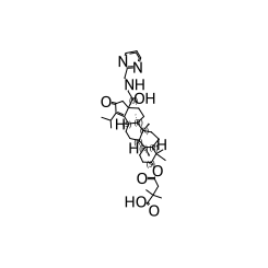 CC(C)C1=C2[C@H]3CC[C@@H]4[C@@]5(C)CC[C@H](OC(=O)CC(C)(C)C(=O)O)C(C)(C)[C@@H]5CC[C@@]4(C)[C@]3(C)CCC2([C@H](O)CNCc2ncccn2)CC1=O